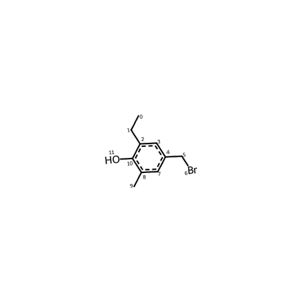 CCc1cc(CBr)cc(C)c1O